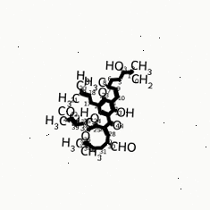 C=C(C)C(O)CC[C@]1(C)C=Cc2c(O)c3c(c(CC=C(C)C)c2O1)O[C@@]1(C)/C(=C\[C@@H](C=O)CCC(C)(C)O[C@@H]1C/C=C(/C)C(=O)O)C3=O